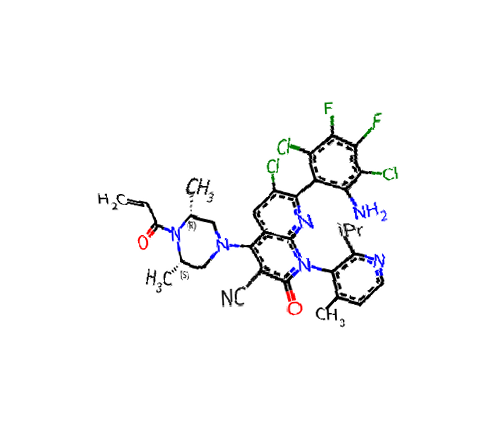 C=CC(=O)N1[C@H](C)CN(c2c(C#N)c(=O)n(-c3c(C)ccnc3C(C)C)c3nc(-c4c(N)c(Cl)c(F)c(F)c4Cl)c(Cl)cc23)C[C@@H]1C